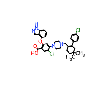 CC1(C)CCC(CN2CCN(c3cc(Oc4cccc5[nH]ncc45)c(C(=O)O)cc3Cl)CC2)=C(c2ccc(Cl)cc2)C1